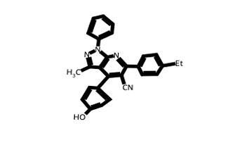 CCc1ccc(-c2nc3c(c(C)nn3-c3ccccc3)c(-c3ccc(O)cc3)c2C#N)cc1